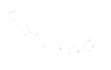 Nc1nc(N)c(C(=O)/N=C2\NCC3(CCN(C(=O)CCC(=O)c4ccn(S(=O)(=O)c5ccccc5)c4)CC3)N2)nc1Cl